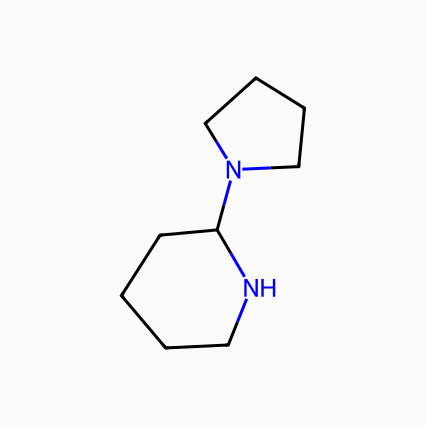 C1CCC(N2CCCC2)NC1